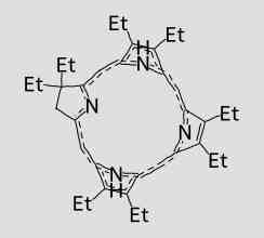 CCC1=C(CC)c2cc3[nH]c(cc4nc(cc5[nH]c(cc1n2)c(CC)c5CC)CC4(CC)CC)c(CC)c3CC